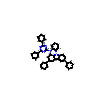 c1ccc(-c2ccc3c(c2)c2cc(-c4ccccc4)cc4c2n3-c2ccccc2N4c2nc(-c3ccccc3)nc(-c3ccccc3)n2)cc1